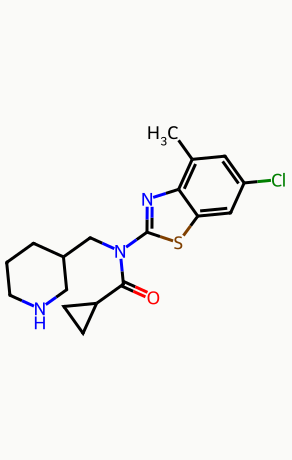 Cc1cc(Cl)cc2sc(N(CC3CCCNC3)C(=O)C3CC3)nc12